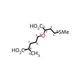 CSCCC(OCCCC(C)C(=O)O)C(=O)O